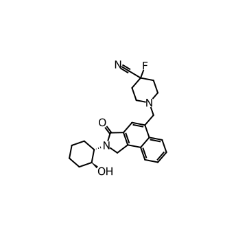 N#CC1(F)CCN(Cc2cc3c(c4ccccc24)CN([C@H]2CCCC[C@@H]2O)C3=O)CC1